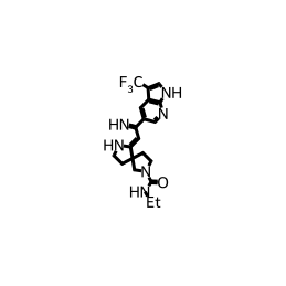 CCNC(=O)N1CCC2(CCN/C2=C\C(=N)c2cnc3[nH]cc(C(F)(F)F)c3c2)C1